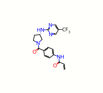 C=CC(=O)Nc1ccc(C(=O)N2CC[C@H](Nc3ncc(C(F)(F)F)cn3)C2)cc1